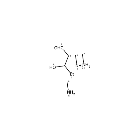 CCC(O)CC=O.CN.CN.CN